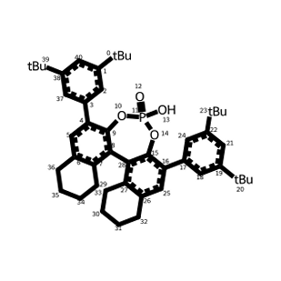 CC(C)(C)c1cc(-c2cc3c(c4c2OP(=O)(O)Oc2c(-c5cc(C(C)(C)C)cc(C(C)(C)C)c5)cc5c(c2-4)CCCC5)CCCC3)cc(C(C)(C)C)c1